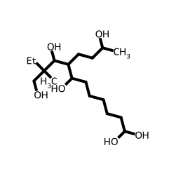 CCC(C)(CO)C(O)C(CCC(C)O)C(O)CCCCCC(O)O